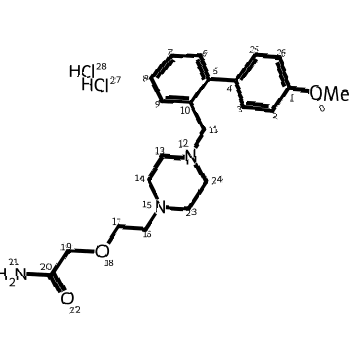 COc1ccc(-c2ccccc2CN2CCN(CCOCC(N)=O)CC2)cc1.Cl.Cl